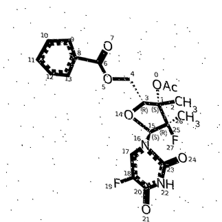 CC(=O)O[C@@]1(C)[C@@H](COC(=O)c2ccccc2)O[C@H](n2cc(F)c(=O)[nH]c2=O)[C@]1(C)F